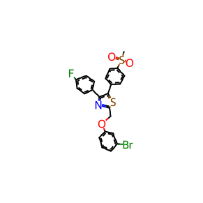 CS(=O)(=O)c1ccc(-c2sc(COc3cccc(Br)c3)nc2-c2ccc(F)cc2)cc1